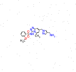 COc1ccccc1S(=O)(=O)Nc1nnc2cc(Cn3cc(CN)cn3)cc(C)n12